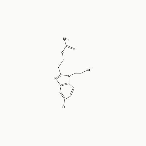 NC(=O)OCCc1nc2cc(Cl)ccc2n1CCO